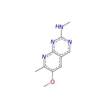 CNc1ncc2cc(OC)c(C)nc2n1